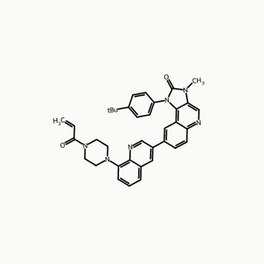 C=CC(=O)N1CCN(c2cccc3cc(-c4ccc5ncc6c(c5c4)n(-c4ccc(C(C)(C)C)cc4)c(=O)n6C)cnc23)CC1